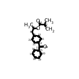 C=C(C)C(=O)OC(C)Cc1ccc(C(=O)c2ccccc2)cc1